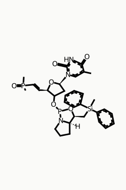 Cc1cn([C@H]2CC(OP3O[C@@H](C[Si](C)(c4ccccc4)c4ccccc4)[C@H]4CCCN43)[C@@H](/C=C/P(C)(C)=O)O2)c(=O)[nH]c1=O